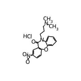 CN(C)CCCN1C(=O)c2cc([N+](=O)[O-])ccc2Oc2ccccc21.Cl